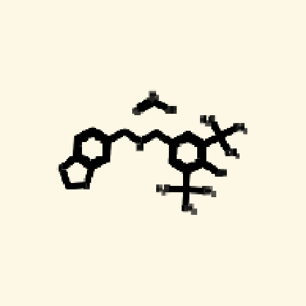 CC(C)(C)c1cc(CNCc2ccc3c(c2)OCO3)cc(C(C)(C)C)c1O.O=[PH2]O